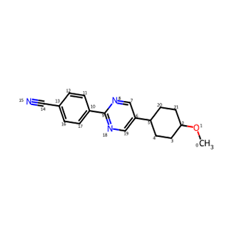 COC1CCC(c2cnc(-c3ccc(C#N)cc3)nc2)CC1